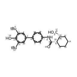 CC(C)(C)c1cc(-c2ccc(NC(=O)[C@H]3CCCC[C@H]3C(=O)O)cc2)cc(C(C)(C)C)c1O